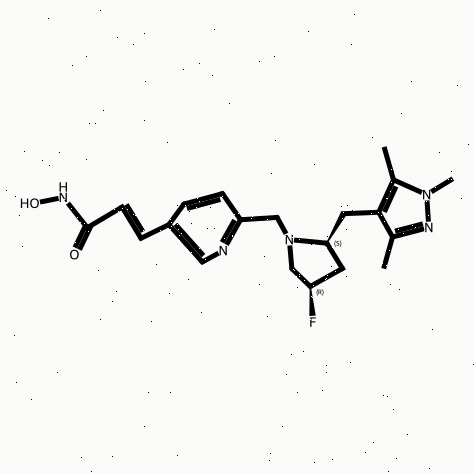 Cc1nn(C)c(C)c1C[C@H]1C[C@@H](F)CN1Cc1ccc(C=CC(=O)NO)cn1